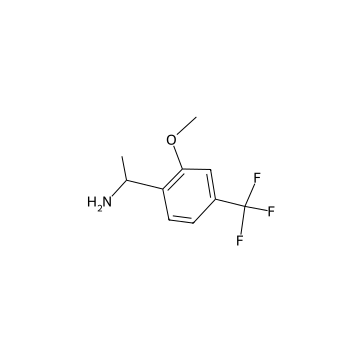 COc1cc(C(F)(F)F)ccc1C(C)N